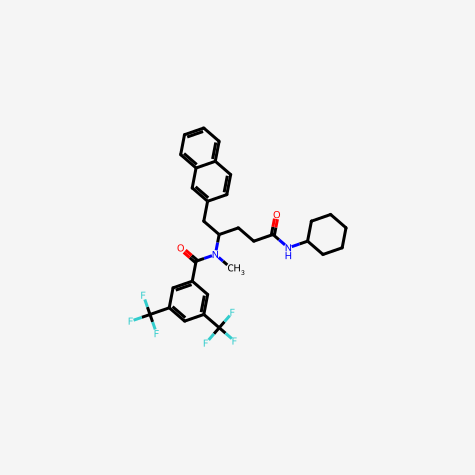 CN(C(=O)c1cc(C(F)(F)F)cc(C(F)(F)F)c1)C(CCC(=O)NC1CCCCC1)Cc1ccc2ccccc2c1